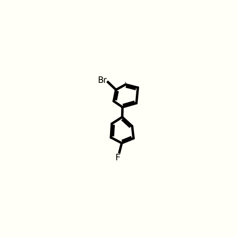 Fc1ccc(-c2cc[c]c(Br)c2)cc1